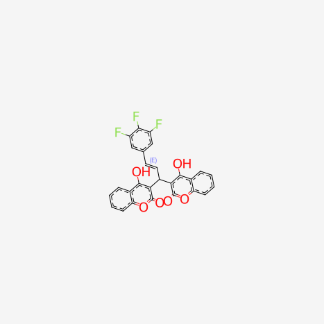 O=c1oc2ccccc2c(O)c1C(/C=C/c1cc(F)c(F)c(F)c1)c1c(O)c2ccccc2oc1=O